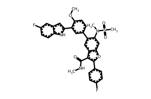 CNC(=O)c1c(-c2ccc(F)cc2)oc2cc(N(C)S(C)(=O)=O)c(-c3ccc(OC)c(-c4cc5cc(F)ccc5[nH]4)c3)cc12